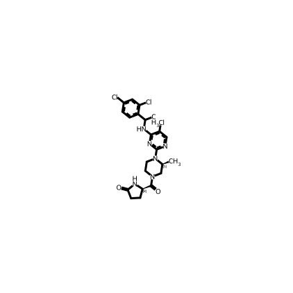 CC(Nc1nc(N2CCN(C(=O)[C@H]3CCC(=O)N3)C[C@@H]2C)ncc1Cl)c1ccc(Cl)cc1Cl